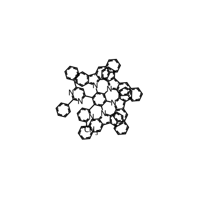 Cc1cccc(-c2c(-c3cc(-c4ccccc4)nc(-c4ccccc4)n3)c(-n3c4ccccc4c4cc5ccccc5cc43)c(-n3c4ccccc4c4cc5ccccc5cc43)c(-n3c4ccccc4c4cc5ccccc5cc43)c2-n2c3ccccc3c3cc4ccccc4cc32)n1